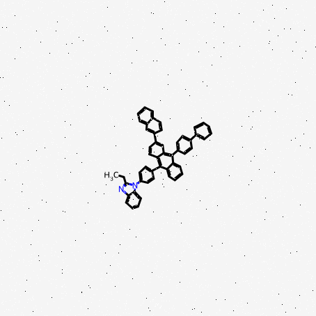 CCc1nc2ccccc2n1-c1ccc(-c2c3ccccc3c(-c3ccc(-c4ccccc4)cc3)c3cc(-c4ccc5ccccc5c4)ccc23)cc1